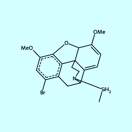 COC1=CC=C2C3Cc4c(Br)cc(OC)c5c4C2(CCN3[SiH2]C)C1O5